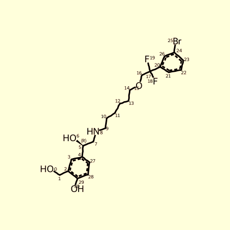 OCc1cc([C@@H](O)CNCCCCCCOCC(F)(F)c2cccc(Br)c2)ccc1O